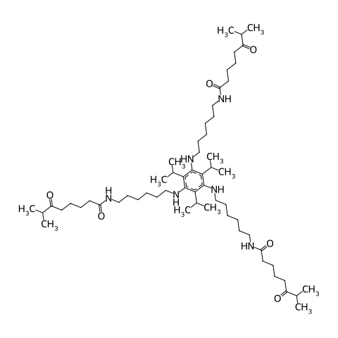 CC(C)C(=O)CCCCC(=O)NCCCCCCNc1c(C(C)C)c(NCCCCCCNC(=O)CCCCC(=O)C(C)C)c(C(C)C)c(NCCCCCCNC(=O)CCCCC(=O)C(C)C)c1C(C)C